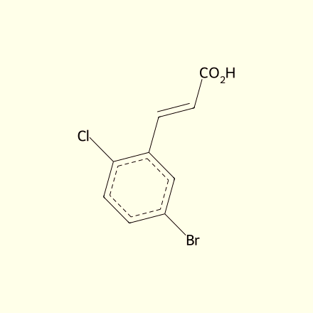 O=C(O)C=Cc1cc(Br)ccc1Cl